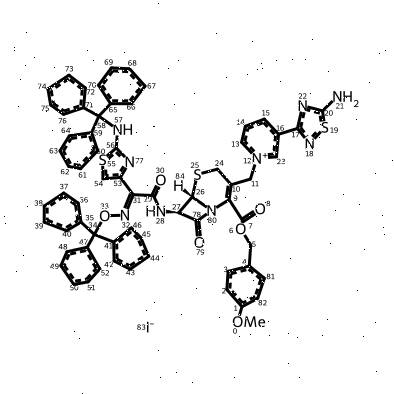 COc1ccc(COC(=O)C2=C(C[n+]3cccc(-c4nsc(N)n4)c3)CS[C@H]3[C@H](NC(=O)C(=NOC(c4ccccc4)(c4ccccc4)c4ccccc4)c4csc(NC(c5ccccc5)(c5ccccc5)c5ccccc5)n4)C(=O)N23)cc1.[I-]